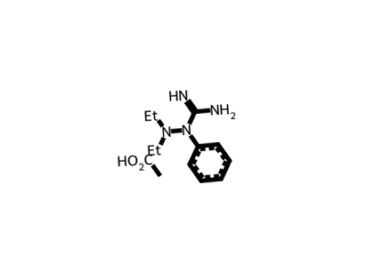 CC(=O)O.CCN(CC)N(C(=N)N)c1ccccc1